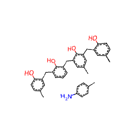 Cc1ccc(N)cc1.Cc1ccc(O)c(Cc2cccc(Cc3cc(C)cc(Cc4cc(C)ccc4O)c3O)c2O)c1